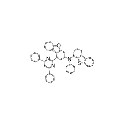 c1ccc(-c2cc(-c3ccccc3)nc(-c3cc(N(c4ccccc4)c4cccc5c4sc4ccccc45)cc4oc5ccccc5c34)n2)cc1